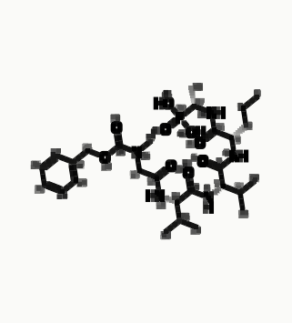 CCC[C@H](NC(=O)[C@@H](NC(=O)[C@@H](NC(=O)CN(C)C(=O)OCc1ccccc1)C(C)C)C(C)C)C(=O)N[C@@H](C)P(=O)(O)O